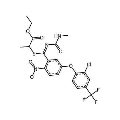 CCOC(=O)C(C)SC(=NC(=O)NC)c1cc(Oc2ccc(C(F)(F)F)cc2Cl)ccc1[N+](=O)[O-]